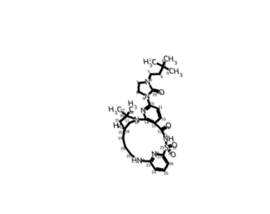 CC(C)(C)CCN1CCN(c2ccc3c(n2)N2C[C@@H](CCCNc4cccc(n4)S(=O)(=O)NC3=O)CC2(C)C)C1=O